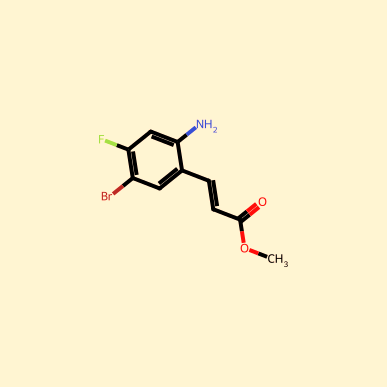 COC(=O)/C=C/c1cc(Br)c(F)cc1N